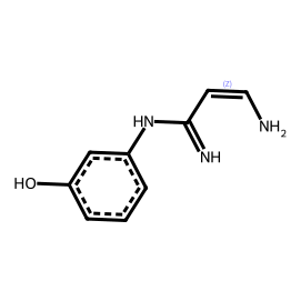 N=C(/C=C\N)Nc1cccc(O)c1